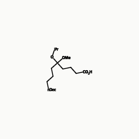 CCCCCCCCCCCCCC(CCCC(=O)O)(OC)OC(C)C